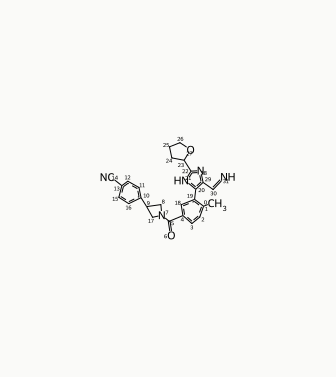 Cc1ccc(C(=O)N2CC(c3ccc(C#N)cc3)C2)cc1-c1[nH]c(C2CCCO2)nc1C=N